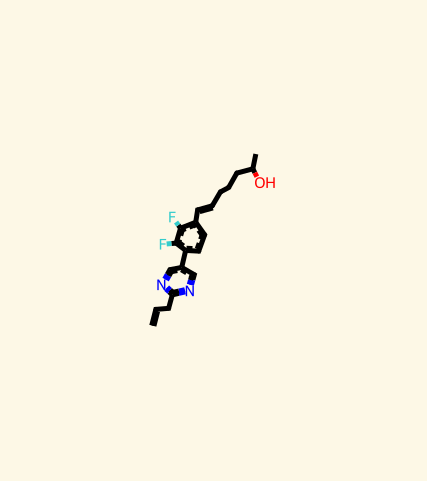 C=CCc1ncc(-c2ccc(C=CCCCC(C)O)c(F)c2F)cn1